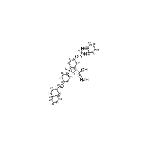 CC1(COc2ccc(C(C)(CCC(=O)O)c3ccc(OCc4ccc5ccccc5n4)cc3)cc2)N=c2ccccc2=N1.[NaH]